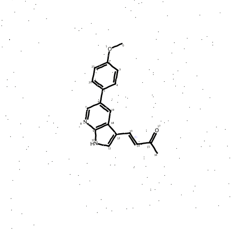 COc1ccc(-c2cnc3[nH]cc(/C=C/C(C)=O)c3c2)cc1